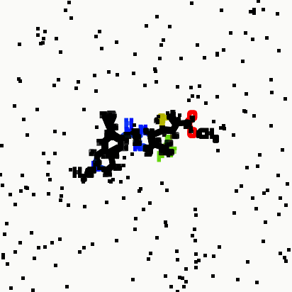 COC(=O)c1csc(-c2nc(Nc3cc4c(cc3C3CC3)CN(C)CC4)ncc2C(F)(F)F)c1